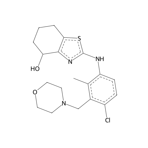 Cc1c(Nc2nc3c(s2)CCCC3O)ccc(Cl)c1CN1CCOCC1